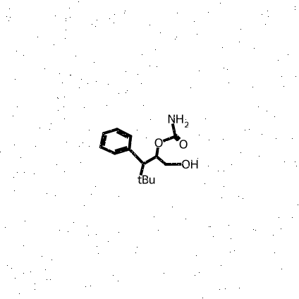 CC(C)(C)C(c1ccccc1)C(CO)OC(N)=O